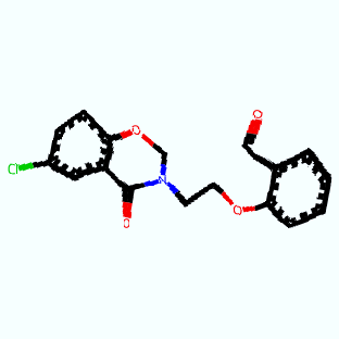 O=Cc1ccccc1OCCN1COc2ccc(Cl)cc2C1=O